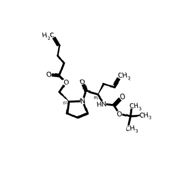 C=CCCC(=O)OC[C@@H]1CCCN1C(=O)[C@@H](CC=C)NC(=O)OC(C)(C)C